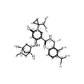 C[C@@H](NC(=O)c1cn(C2(C(F)F)CC2)c(=O)cc1N[C@@H]1C[C@@H]2C[C@H]1CN2C)c1cccc(C(F)F)c1F